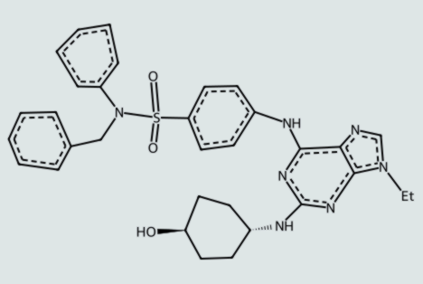 CCn1cnc2c(Nc3ccc(S(=O)(=O)N(Cc4ccccc4)c4ccccc4)cc3)nc(N[C@H]3CC[C@H](O)CC3)nc21